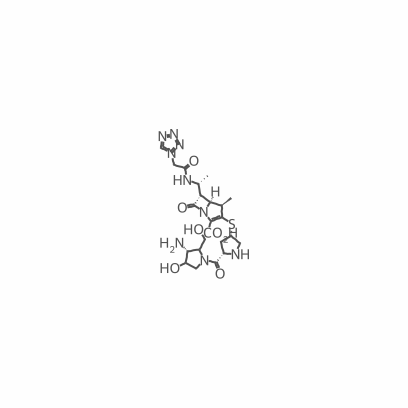 C[C@@H](NC(=O)Cn1cnnn1)[C@H]1C(=O)N2C(C(=O)O)=C(S[C@@H]3CN[C@H](C(=O)N4CC(O)[C@H](N)C4CO)C3)[C@H](C)[C@H]12